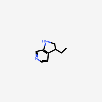 CCC1CNc2cnccc21